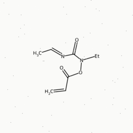 C=CC(=O)ON(CC)C(=O)N=CC